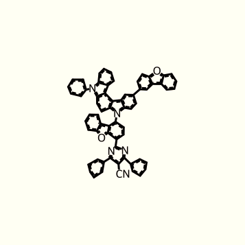 N#Cc1c(-c2ccccc2)nc(-c2ccc(-n3c4ccc(-c5ccc6oc7ccccc7c6c5)cc4c4c5c6ccccc6n(-c6ccccc6)c5ccc43)c3c2oc2ccccc23)nc1-c1ccccc1